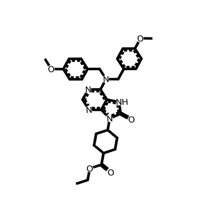 CCOC(=O)C1CCC(n2c(=O)[nH]c3c(N(Cc4ccc(OC)cc4)Cc4ccc(OC)cc4)ncnc32)CC1